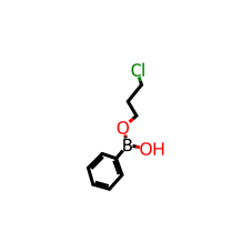 OB(OCCCCl)c1ccccc1